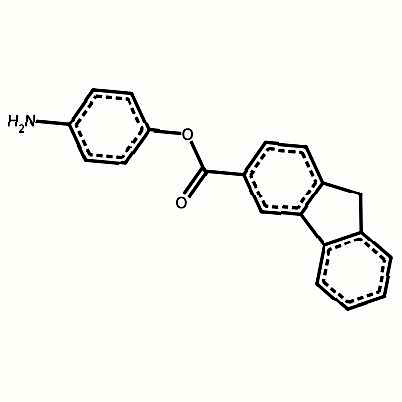 Nc1ccc(OC(=O)c2ccc3c(c2)-c2ccccc2C3)cc1